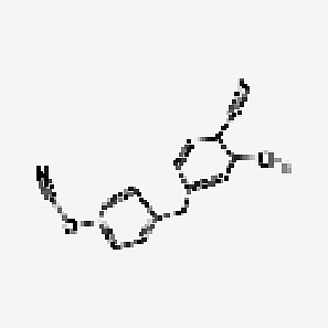 CC1C=C(Cc2ccc(OC#N)cc2)C=CC1C#N